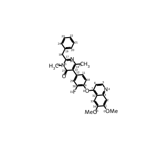 COc1cc2nccc(Oc3ccc(-c4c(C)nc(Cc5ccccc5)n(C)c4=O)cc3F)c2cc1OC